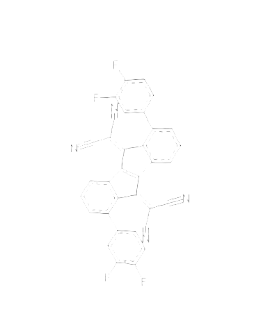 N#CC(C#N)=C1C2=C(C(=C(C#N)C#N)c3c2cccc3-c2ccc(F)c(F)c2)c2cccc(-c3ccc(F)c(F)c3)c21